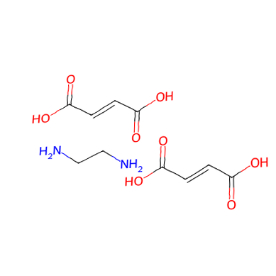 NCCN.O=C(O)C=CC(=O)O.O=C(O)C=CC(=O)O